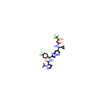 CC(C)n1nccc1C(=O)N[C@H](c1cn2ncc(C(NC(=O)C[C@H](O)C(F)(F)F)C3CC3)cc2n1)C1CCC(F)(F)CC1